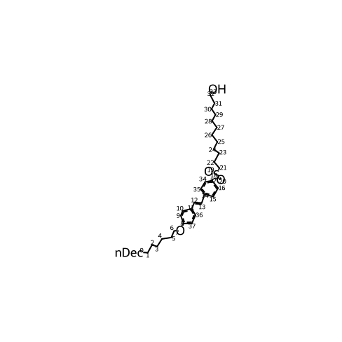 CCCCCCCCCCCCCCCCOc1ccc(C=Cc2ccc(S(=O)(=O)CCCCCCCCCCCCO)cc2)cc1